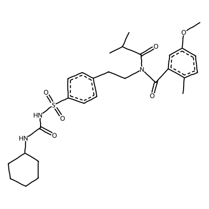 COc1ccc(C)c(C(=O)N(CCc2ccc(S(=O)(=O)NC(=O)NC3CCCCC3)cc2)C(=O)C(C)C)c1